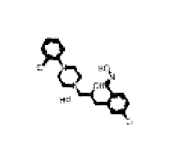 Cl.ON=Cc1ccc(Cl)cc1CC(O)CN1CCN(c2ccccc2Cl)CC1